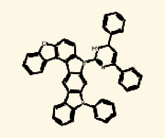 C1=C(c2ccccc2)N=C(n2c3cc4c(cc3c3c5c(ccc32)oc2ccccc25)c2ccccc2n4-c2ccccc2)NC1c1ccccc1